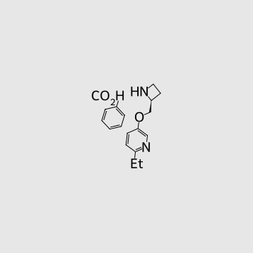 CCc1ccc(OC[C@@H]2CCN2)cn1.O=C(O)c1ccccc1